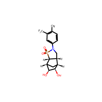 N#Cc1ccc(N2C[C@@H]3[C@H]4C[C@H]([C@H](O)[C@@H]4O)[C@@H]3S2(=O)=O)cc1C(F)(F)F